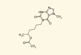 CC(=O)OC(C)CCCCn1c(=O)[nH]c2ncn(C)c2c1=O